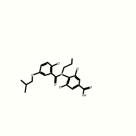 CCCN(C(=O)c1cc(OCC(C)C)ccc1Cl)c1c(Cl)cc(C(=O)O)cc1Cl